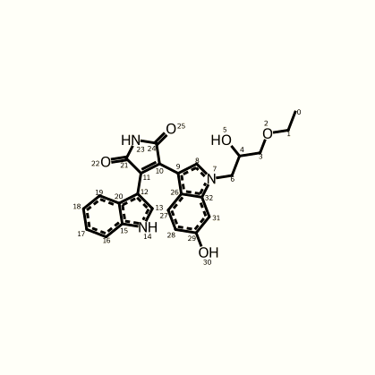 CCOCC(O)Cn1cc(C2=C(c3c[nH]c4ccccc34)C(=O)NC2=O)c2ccc(O)cc21